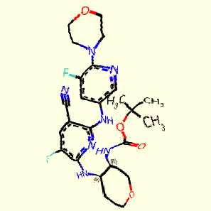 CC(C)(C)OC(=O)N[C@H]1COCC[C@H]1Nc1nc(Nc2cnc(N3CCOCC3)c(F)c2)c(C#N)cc1F